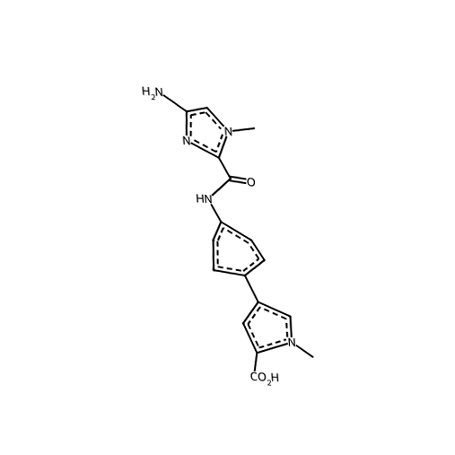 Cn1cc(-c2ccc(NC(=O)c3nc(N)cn3C)cc2)cc1C(=O)O